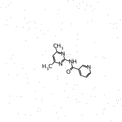 Cc1cc(C)nc(NC(=O)c2cccnc2)n1